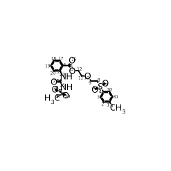 Cc1ccc(S(=O)(=O)CCOCCOC(=O)c2ccccc2NC(=O)NS(C)(=O)=O)cc1